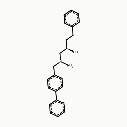 NN(Cc1ccc(-c2ccccn2)cc1)C[C@H](O)CCc1ccccc1